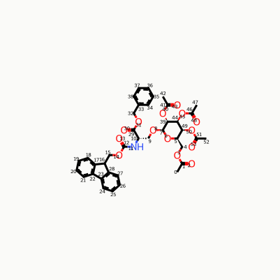 CC(=O)OC[C@H]1O[C@@H](OC[C@H](NC(=O)OCC2c3ccccc3-c3ccccc32)C(=O)OCc2ccccc2)[C@H](OC(C)=O)[C@@H](OC(C)=O)[C@H]1OC(C)=O